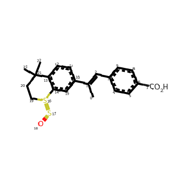 CC(=Cc1ccc(C(=O)O)cc1)c1ccc2c(c1)S(=S=O)CCC2(C)C